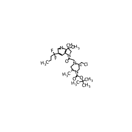 CCCC(F)(F)c1cnc2c(c1)N(C(=O)CN1C[C@@H](C)N(C(=O)OC(C)(C)C)C[C@@H]1CCl)CC2(C)C